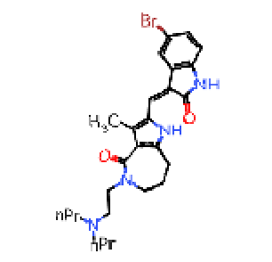 CCCN(CCC)CCN1CCCc2[nH]c(/C=C3\C(=O)Nc4ccc(Br)cc43)c(C)c2C1=O